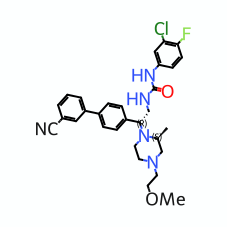 COCCN1CCN([C@@H](CNC(=O)Nc2ccc(F)c(Cl)c2)c2ccc(-c3cccc(C#N)c3)cc2)[C@@H](C)C1